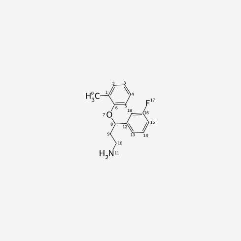 Cc1ccccc1OC(CCN)c1cccc(F)c1